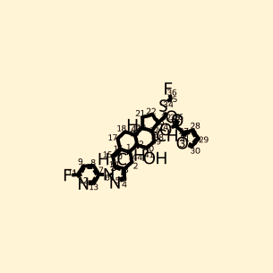 C[C@]12Cc3cnn(-c4ccc(F)nc4)c3C=C1CC[C@H]1C3CC[C@](OC(=O)c4ccco4)(C(=O)SCF)[C@@]3(C)C[C@H](O)[C@@H]12